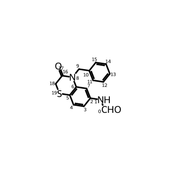 O=CNc1ccc2c(c1)N(Cc1ccccc1)C(=O)CS2